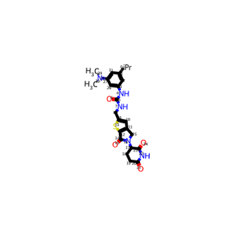 CC(C)c1cc(NC(=O)NCc2cc3c(s2)C(=O)N(C2CCC(=O)NC2=O)C3)cc(N(C)C)c1